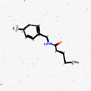 COCCCC(=O)NCc1ccc(C(F)(F)F)cc1